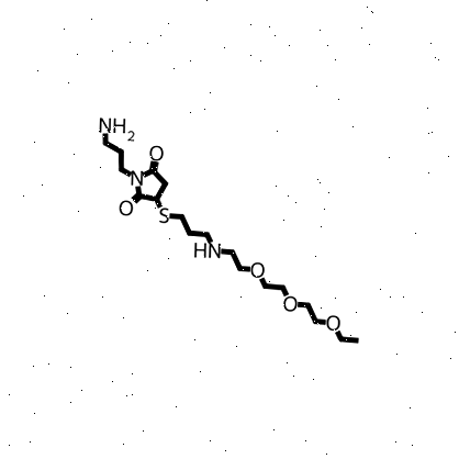 CCOCCOCCOCCNCCCSC1CC(=O)N(CCCN)C1=O